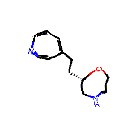 [c]1ccc(CC[C@H]2CNCCO2)cn1